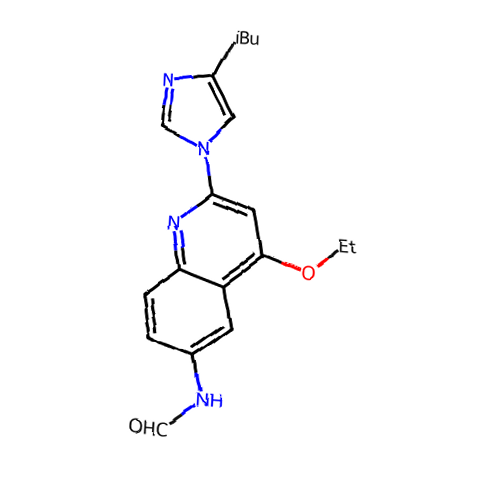 CCOc1cc(-n2cnc(C(C)CC)c2)nc2ccc(NC=O)cc12